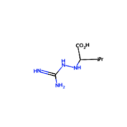 CC(C)C(NNC(=N)N)C(=O)O